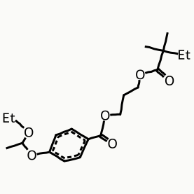 CCOC(C)Oc1ccc(C(=O)OCCCOC(=O)C(C)(C)CC)cc1